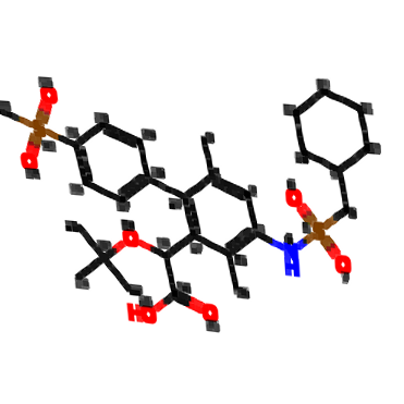 Cc1cc(NS(=O)(=O)CC2CCCCC2)c(C)c(C(OC(C)(C)C)C(=O)O)c1-c1ccc(S(C)(=O)=O)cc1